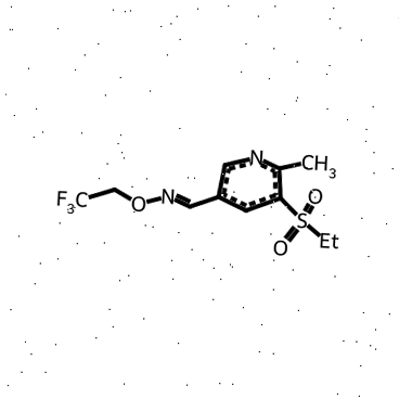 CCS(=O)(=O)c1cc(/C=N/OCC(F)(F)F)cnc1C